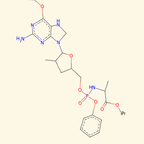 CCOc1nc(N)nc2c1NCN2C1OC(COP(=O)(NC(C)C(=O)OC(C)C)Oc2ccccc2)CC1C